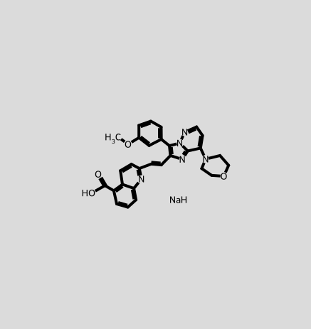 COc1cccc(-c2c(C=Cc3ccc4c(C(=O)O)cccc4n3)nc3c(N4CCOCC4)ccnn23)c1.[NaH]